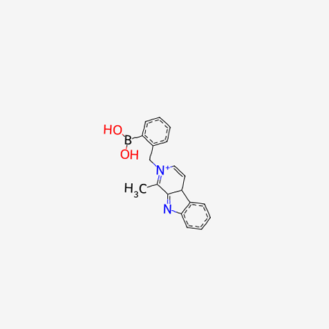 CC1=[N+](Cc2ccccc2B(O)O)C=CC2C1=Nc1ccccc12